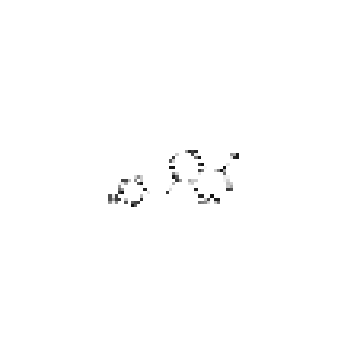 COc1c(Cc2c[nH]cn2)cccc1C(N)=O